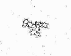 COc1cccc2cc(S(=O)(=O)c3cc4ccccc4[nH]3)c(C3=CCN4CCC[C@@H]4C3)cc12